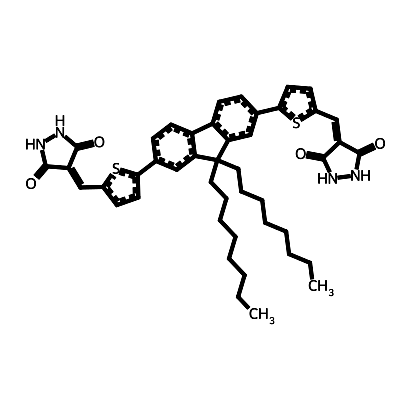 CCCCCCCCC1(CCCCCCCC)c2cc(-c3ccc(C=C4C(=O)NNC4=O)s3)ccc2-c2ccc(-c3ccc(C=C4C(=O)NNC4=O)s3)cc21